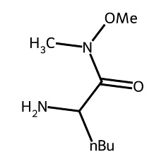 CCCCC(N)C(=O)N(C)OC